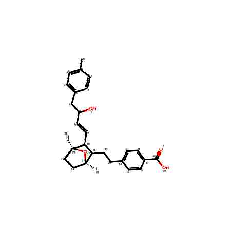 Cc1ccc(CC(O)/C=C/[C@H]2[C@@H](CCc3ccc(C(=O)O)cc3)[C@H]3CC[C@@H]2O3)cc1